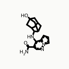 NC(=O)c1cnn2cccc2c1NC1C2CC3CC1CC(O)(C3)C2